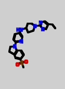 CCc1cnc(N2CCC(Nc3ccc(N4CCc5cc(S(C)(=O)=O)ccc54)nc3)CC2)nc1